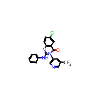 O=c1c2cc(Cl)ccc2nc(Nc2ccccc2)n1-c1cncc(C(F)(F)F)c1